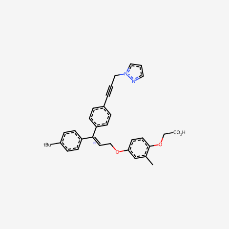 Cc1cc(OC/C=C(\c2ccc(C#CCn3cccn3)cc2)c2ccc(C(C)(C)C)cc2)ccc1OCC(=O)O